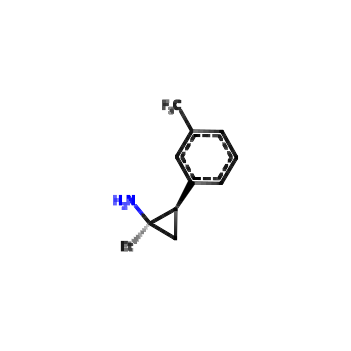 CC[C@@]1(N)C[C@@H]1c1cccc(C(F)(F)F)c1